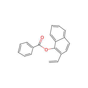 C=Cc1ccc2ccccc2c1OC(=O)c1ccccc1